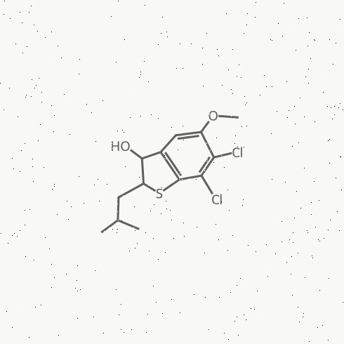 COc1cc2c(c(Cl)c1Cl)SC(CC(C)C)C2O